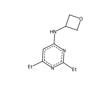 CCc1cc(NC2COC2)nc(CC)n1